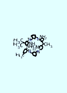 Cc1ccc(N)c(/N=C/c2cccc(/C=N/C3C=CC(C(C)c4ccc(N)c(/N=C/c5cccc(/C=N/c6cc(C(C)C)ccc6N)c5)c4)=CC3N)c2)c1